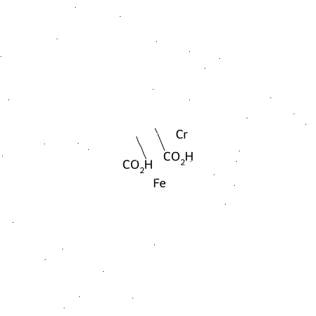 CC(=O)O.CC(=O)O.[Cr].[Fe]